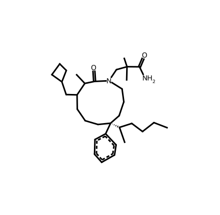 CCCCC(C)[C@]1(c2ccccc2)CCCC(CC2CCC2)C(C)C(=O)N(CC(C)(C)C(N)=O)CCC1